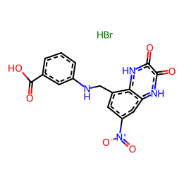 Br.O=C(O)c1cccc(NCc2cc([N+](=O)[O-])cc3[nH]c(=O)c(=O)[nH]c23)c1